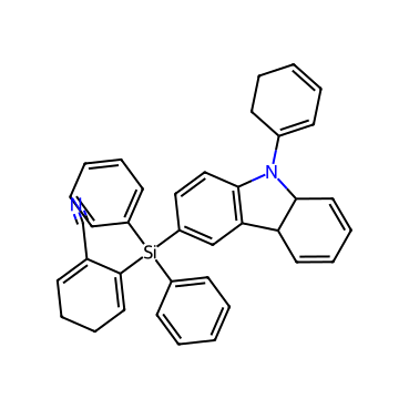 N#CC1=CCCC=C1[Si](c1ccccc1)(c1ccccc1)c1ccc2c(c1)C1C=CC=CC1N2C1=CC=CCC1